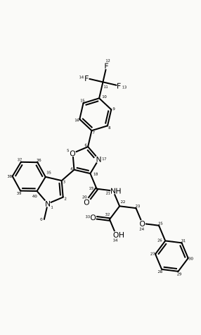 Cn1cc(-c2oc(-c3ccc(C(F)(F)F)cc3)nc2C(=O)NC(COCc2ccccc2)C(=O)O)c2ccccc21